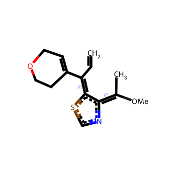 C=C/C(C1=CCOCC1)=c1/scn/c1=C(/C)OC